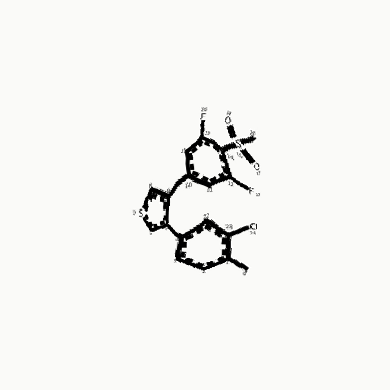 Cc1ccc(-c2cscc2-c2cc(F)c(S(C)(=O)=O)c(F)c2)cc1Cl